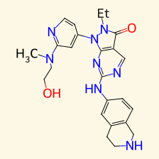 CCn1c(=O)c2cnc(Nc3ccc4c(c3)CCNC4)nc2n1-c1ccnc(N(C)CCO)c1